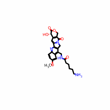 COc1ccc2nc3c(c(CNC(=O)CCCCCN)c2c1)Cn1c-3cc2c(c1=O)COC(=O)[C@H]2O